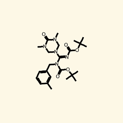 Cc1cccc(CN(C(=O)OC(C)(C)C)/C(=N/C(=O)OC(C)(C)C)N2CN(C)C(=O)N(C)C2)c1